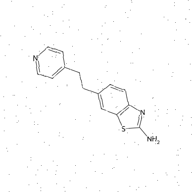 Nc1nc2ccc(CCc3ccncc3)cc2s1